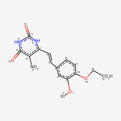 CCOc1cc(/C=C/c2[nH]c(=O)[nH]c(=O)c2[N+](=O)[O-])ccc1OCC(=O)O